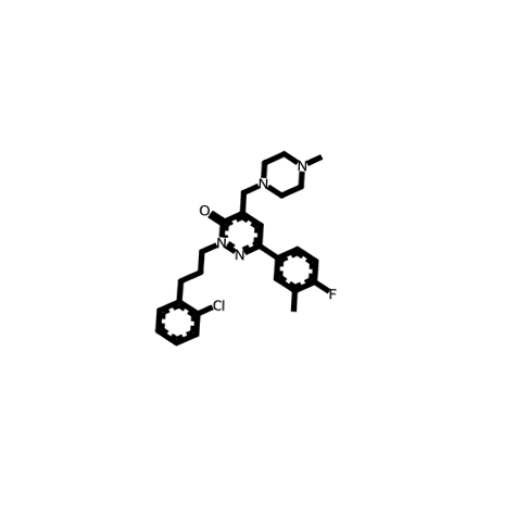 Cc1cc(-c2cc(CN3CCN(C)CC3)c(=O)n(CCCc3ccccc3Cl)n2)ccc1F